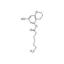 CCCCCCC(=O)Oc1cc(O)cc2c1CCCO2